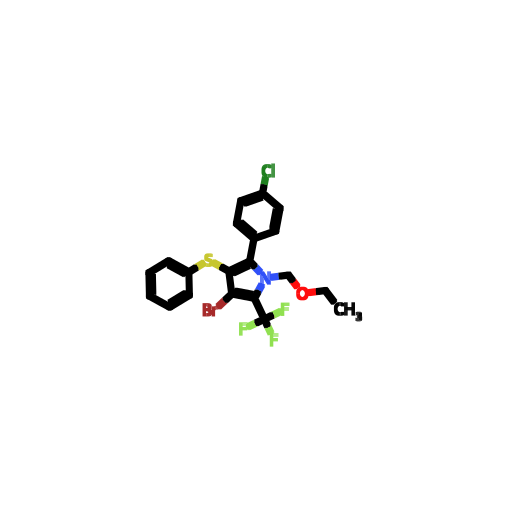 CCOCn1c(-c2ccc(Cl)cc2)c(Sc2ccccc2)c(Br)c1C(F)(F)F